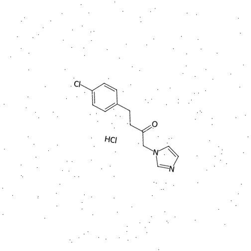 Cl.O=C(CCc1ccc(Cl)cc1)Cn1ccnc1